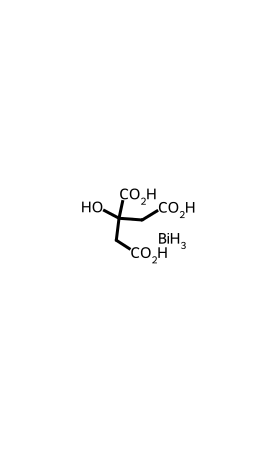 O=C(O)CC(O)(CC(=O)O)C(=O)O.[BiH3]